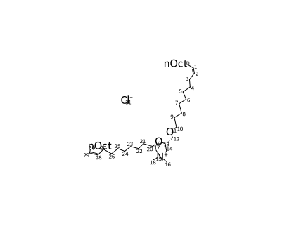 CCCCCCCC/C=C\CCCCCCCCOC[C@H](C[N+](C)(C)C)OCCCCCCCC/C=C\CCCCCCCC.[Cl-]